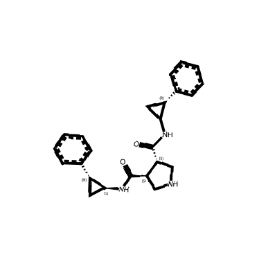 O=C(NC1C[C@@H]1c1ccccc1)[C@@H]1CNC[C@H]1C(=O)N[C@H]1C[C@@H]1c1ccccc1